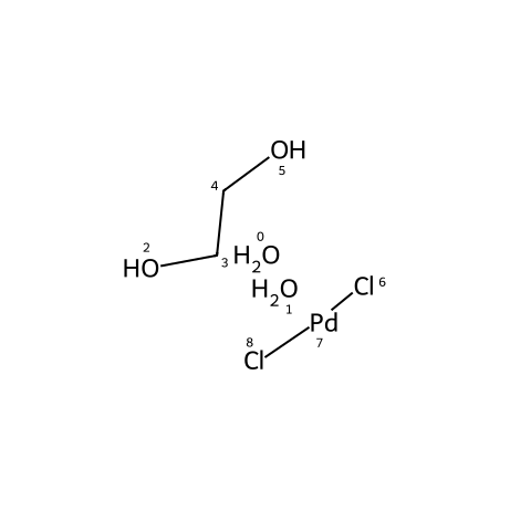 O.O.OCCO.[Cl][Pd][Cl]